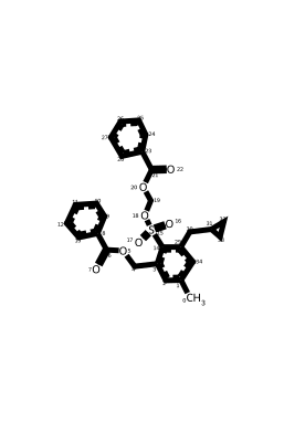 Cc1cc(COC(=O)c2ccccc2)c(S(=O)(=O)OCOC(=O)c2ccccc2)c(CC2CC2)c1